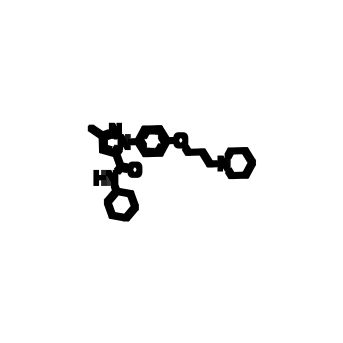 Cc1cc(C(=O)NC2CCCCC2)n(-c2ccc(OCCCN3CCCCC3)cc2)n1